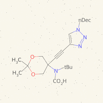 CCCCCCCCCCn1cc(C#CC2(N(C(=O)O)C(C)(C)C)COC(C)(C)OC2)nn1